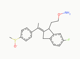 C/C(=C1/Cc2ccc(F)cc2C1CCON)c1ccc([S+](C)[O-])cc1